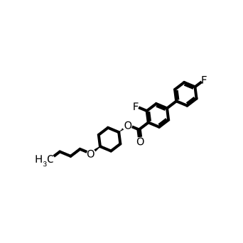 CCCCO[C@H]1CC[C@H](OC(=O)c2ccc(-c3ccc(F)cc3)cc2F)CC1